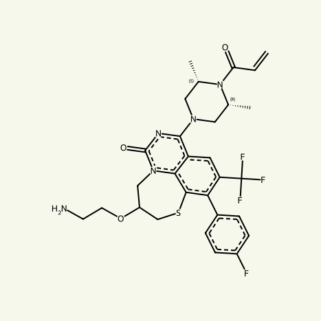 C=CC(=O)N1[C@H](C)CN(c2nc(=O)n3c4c(c(-c5ccc(F)cc5)c(C(F)(F)F)cc24)SCC(OCCN)C3)C[C@@H]1C